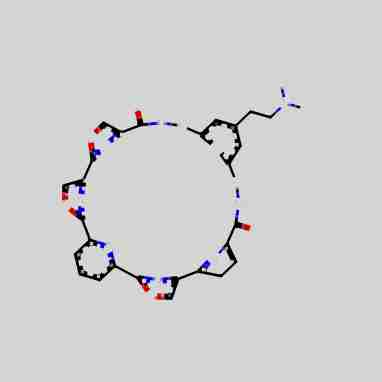 CN(C)CCc1cc2cc(c1)CNC(=O)c1coc(n1)-c1coc(n1)-c1cccc(n1)-c1nc(co1)C1=NC(=CC1)C(=O)NC2